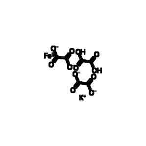 O=C(O)C(=O)O.O=C([O-])C(=O)[O-].O=C([O-])C(=O)[O-].[Fe+3].[K+]